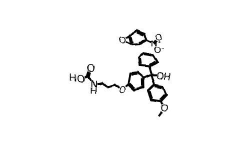 COc1ccc(C(O)(c2ccccc2)c2ccc(OCCCNC(=O)O)cc2)cc1.O=[N+]([O-])c1ccc2c(c1)O2